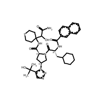 CC(C)(O)c1cnnn1[C@H]1C[C@@H](C(=O)NC2(C(O)C(N)=O)CCSCC2)N(C(=O)[C@@H](CC2CCCCC2)NC(=O)c2ccc3ccccc3c2)C1